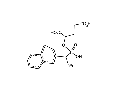 CCCC(c1ccc2ccccc2c1)P(=O)(O)OC(CCC(=O)O)C(=O)O